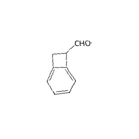 O=[C]C1Cc2ccccc21